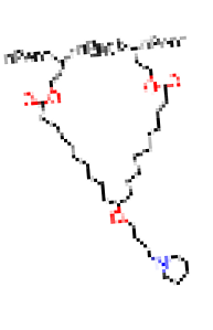 CCCCCC(CCCCC)CCOC(=O)CCCCCCCCCC(CCCCCCCCCC(=O)OCCC(CCCCC)CCCCC)OCCCCN1CCCCC1